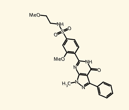 COCCNS(=O)(=O)c1ccc(-c2nc3c(c(-c4ccccc4)nn3C)c(=O)[nH]2)c(OC)c1